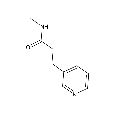 CNC(=O)CCc1cccnc1